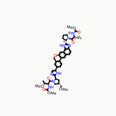 COC[C@H]1CC(c2ncc(-c3ccc4c(c3)COc3cc5c(ccc6nc([C@@H]7CC[C@H](C)N7C(=O)[C@@H](NC(=O)OC)C(C)C)[nH]c65)cc3-4)[nH]2)N(C(=O)[C@@H](NC(=O)OC)[C@@H](C)OC)C1